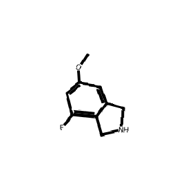 COc1cc(F)c2c(c1)CNC2